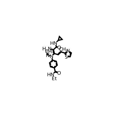 C=NN(C(/C=C(\C)c1nccs1)=C(\N)C(=O)NC1CC1)c1ccc(C(=O)NCC)cc1